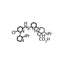 CCC[C@@H]1CCN(c2cccc(SNc3ccc(Cl)c(-c4cccnc4C(C)C)n3)n2)[C@H]2C[C@H](C(=O)O)[C@@H]12